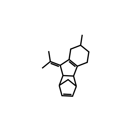 CC(C)=C1C2=C(CCC(C)C2)C2C3C=CC(C3)C12